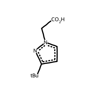 CC(C)(C)c1ccn(CC(=O)O)n1